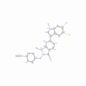 COc1ccc(CN2C(=O)c3ccc(-c4cn(C)c5cc(F)c(F)cc45)nc3C2C)cc1